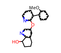 COc1ccccc1-c1cccnc1Oc1cnc2c(c1)CCCC2O